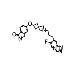 CN1Cc2cc(OC3CC4(C3)CN(CCCc3cc5nncn5cc3F)C4)ccc2C1=O